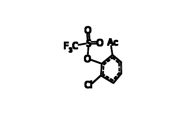 CC(=O)c1cccc(Cl)c1OS(=O)(=O)C(F)(F)F